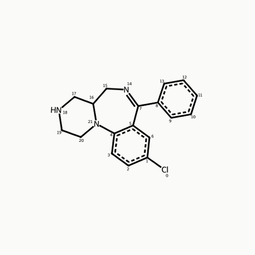 Clc1ccc2c(c1)C(c1ccccc1)=NCC1CNCCN21